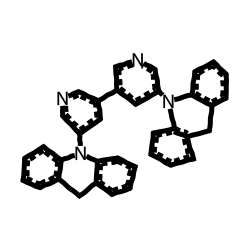 c1ccc2c(c1)Cc1ccccc1N2c1cncc(-c2cncc(N3c4ccccc4Cc4ccccc43)c2)c1